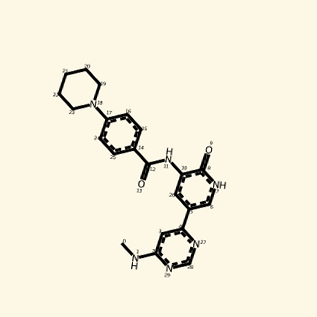 CNc1cc(-c2c[nH]c(=O)c(NC(=O)c3ccc(N4CCCCC4)cc3)c2)ncn1